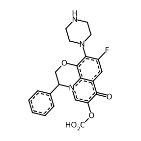 O=C(O)Oc1cn2c3c(c(N4CCNCC4)c(F)cc3c1=O)OCC2c1ccccc1